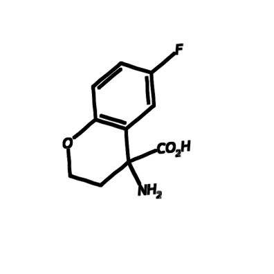 NC1(C(=O)O)CCOc2ccc(F)cc21